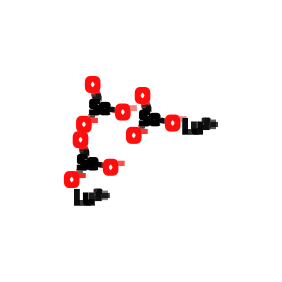 O=[Se]([O-])[O-].O=[Se]([O-])[O-].O=[Se]([O-])[O-].[Lu+3].[Lu+3]